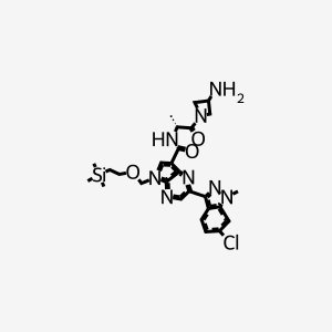 C[C@@H](NC(=O)c1cn(COCC[Si](C)(C)C)c2ncc(-c3nn(C)c4cc(Cl)ccc34)nc12)C(=O)N1CC(N)C1